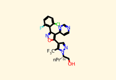 CCC[C@@H](CO)n1ncc(-c2onc(-c3c(F)cccc3Cl)c2-c2ccncn2)c1C(F)(F)F